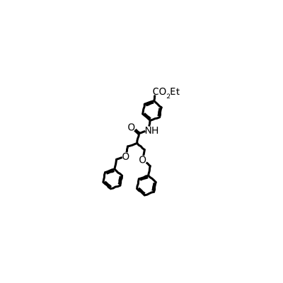 CCOC(=O)c1ccc(NC(=O)C(COCc2ccccc2)COCc2ccccc2)cc1